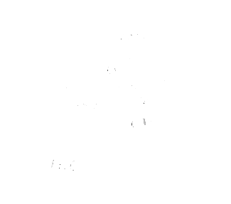 COC(=O)C1(C(=O)Cc2c(C)cc(C)cc2C)CCCC1